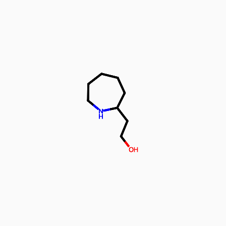 OCCC1CCCCCN1